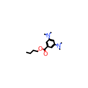 CCCCOC(=O)c1cc(N(C)C)cc(N(C)C)c1